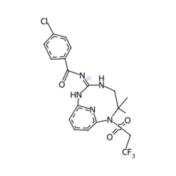 CC1(C)CN/C(=N/C(=O)c2ccc(Cl)cc2)Nc2cccc(n2)N1S(=O)(=O)CC(F)(F)F